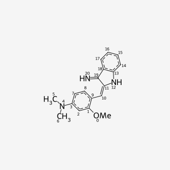 COc1cc(N(C)C)ccc1C=C1Nc2ccccc2C1=N